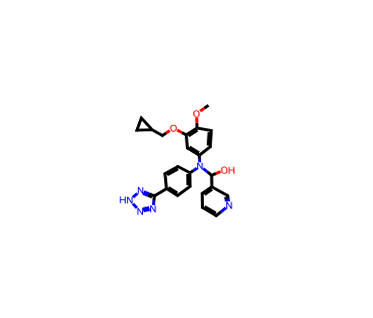 COc1ccc(N(c2ccc(-c3nn[nH]n3)cc2)C(O)c2cccnc2)cc1OCC1CC1